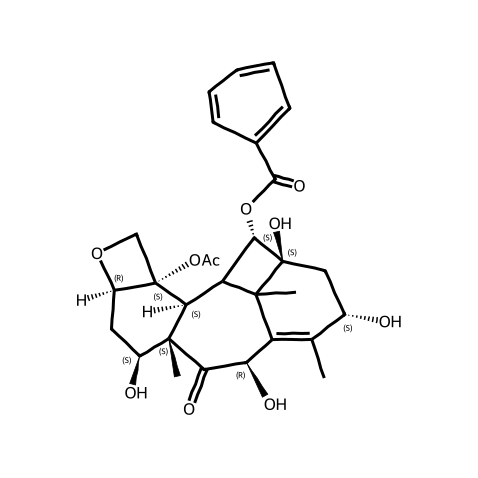 CC(=O)O[C@@]12CO[C@@H]1C[C@H](O)[C@@]1(C)C(=O)[C@H](O)C3=C(C)[C@@H](O)C[C@@]4(O)[C@@H](OC(=O)c5ccccc5)C([C@H]21)C34C